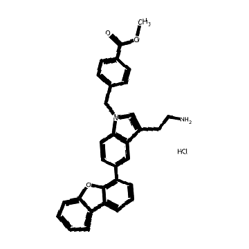 COC(=O)c1ccc(Cn2cc(CCN)c3cc(-c4cccc5c4oc4ccccc45)ccc32)cc1.Cl